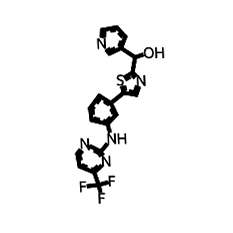 OC(c1cccnc1)c1ncc(-c2cccc(Nc3nccc(C(F)(F)F)n3)c2)s1